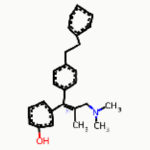 C/C(CN(C)C)=C(/c1ccc(CCc2ccccc2)cc1)c1cccc(O)c1